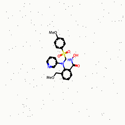 COCc1cccc(C(=O)NO)c1N(CS(=O)(=O)c1ccc(OC)cc1)c1cccnc1